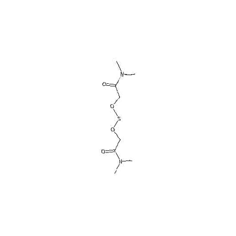 CN(C)C(=O)COSOCC(=O)N(C)C